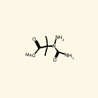 COC(=O)C(C)(C)N(N)C(N)=O